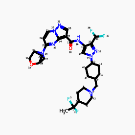 CC(F)(F)C1CCN(CC2CCC(n3cc(NC(=O)c4cnn5ccc(N6CC7CC6CO7)nc45)c(C(F)F)n3)CC2)CC1